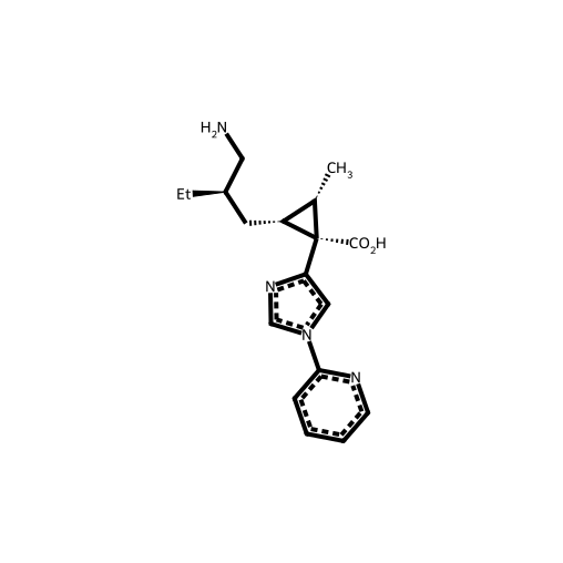 CC[C@@H](CN)C[C@@H]1[C@H](C)[C@@]1(C(=O)O)c1cn(-c2ccccn2)cn1